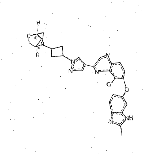 Cc1nc2ccc(Oc3ccc4ncc(-c5cnn(C6CC(N7C[C@H]8C[C@@H]7CO8)C6)c5)nc4c3Cl)cc2[nH]1